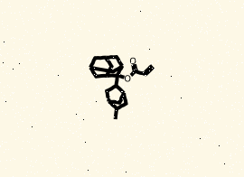 C=CC(=O)OC1(C2CC3CC2CC3C)C2CC3CC(C2)CC1C3